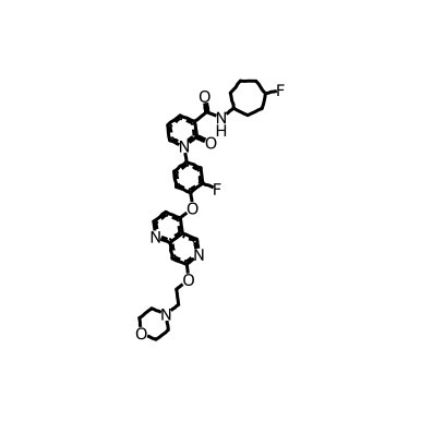 O=C(NC1CCCC(F)CC1)c1cccn(-c2ccc(Oc3ccnc4cc(OCCN5CCOCC5)ncc34)c(F)c2)c1=O